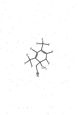 CC1(CC#N)C(C(F)(F)F)=C(F)C(C(F)(F)F)=C(F)C1F